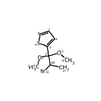 COC(OC)(c1cccs1)C(C)Br